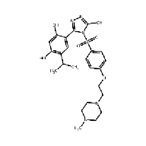 CC(C)c1cc(-c2nnc(O)n2S(=O)(=O)c2ccc(OCCN3CCN(C)CC3)cc2)c(O)cc1O